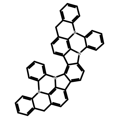 c1ccc2c(c1)Cc1ccc3c4c(ccc5c6ccc7c8c6n(c54)-c4ccccc4B8c4ccccc4C7)n4c3c1B2c1ccccc1-4